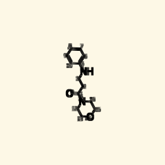 O=C(CCNc1cc[c]cc1)N1CCOCC1